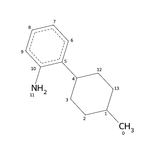 CC1CCC(c2ccccc2N)CC1